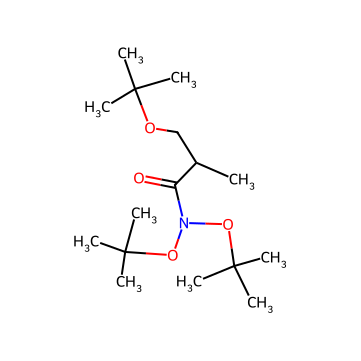 CC(COC(C)(C)C)C(=O)N(OC(C)(C)C)OC(C)(C)C